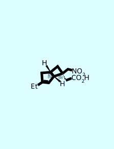 CCC1=C[C@@H]2[C@H](C1)C[C@@]2(CC(=O)O)C[N+](=O)[O-]